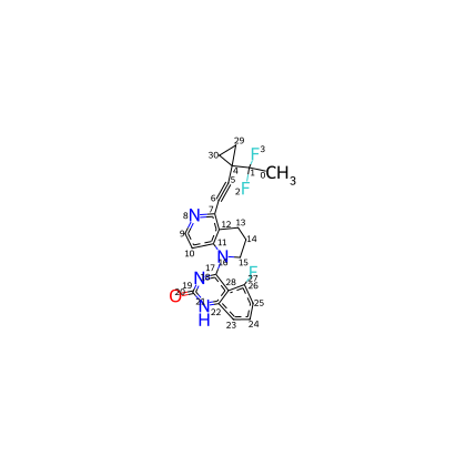 CC(F)(F)C1(C#Cc2nccc3c2CCCN3c2nc(=O)[nH]c3cccc(F)c23)CC1